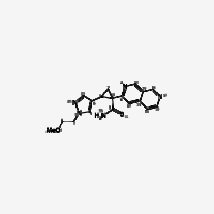 COCCn1cc(C2CC2(C(N)=O)c2cc3ccncc3cn2)cn1